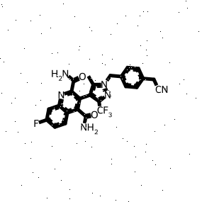 Cc1c(-c2c(C(N)=O)nc3cc(F)ccc3c2C(N)=O)c(C(F)(F)F)nn1Cc1ccc(CC#N)cc1